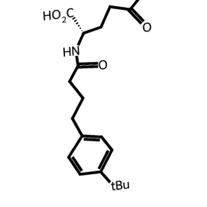 CC(C)(C)c1ccc(CCCC(=O)N[C@@H](CCC(N)=O)C(=O)O)cc1